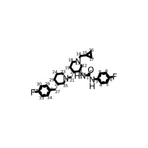 O=C(Nc1ccc(F)cc1)N[C@H]1CN(CC2CC2)CC[C@H]1CN1CCC[C@@H](Cc2ccc(F)cc2)C1